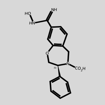 N=C(NO)c1ccc2c(c1)OC[C@H](c1ccccc1)N(C(=O)O)C2